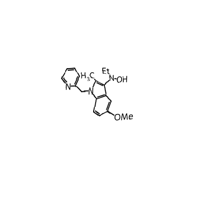 CCN(O)c1c(C)n(Cc2ccccn2)c2ccc(OC)cc12